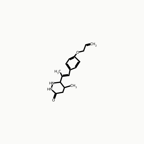 C=CCOc1ccc(/C=C(\C)C2NNC(=O)CC2C)cc1